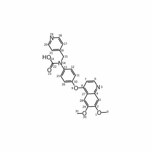 COc1cc2nccc(Oc3ccc(N(Cc4ccncc4)C(=O)O)cc3)c2cc1OC